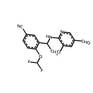 CC(Nc1ncc(C=O)cc1Cl)c1cc(C#N)ccc1OC(F)F